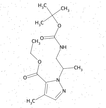 CCOC(=O)c1c(C)cnn1C(C)CNC(=O)OC(C)(C)C